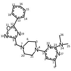 Cc1cc(N2CCN(Cc3noc(-c4ccccc4)n3)CC2)nc(N(C)C)n1